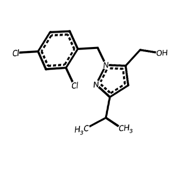 CC(C)c1cc(CO)n(Cc2ccc(Cl)cc2Cl)n1